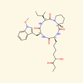 CCC(=O)C(O)CCCC[C@@H]1NC(=O)[C@H]2CCCCN2C(=O)[C@H](C(C)CC)NC(=O)[C@H](Cc2cn(OC)c3ccccc23)NC1=O